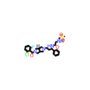 CS(=O)(=O)CNCC(=O)NC(CCN1CC2CN(C(=O)c3c(F)cccc3Cl)C[C@@H]2C1)c1ccccc1